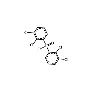 O=P(Cl)(c1cccc(Cl)c1Cl)c1cccc(Cl)c1Cl